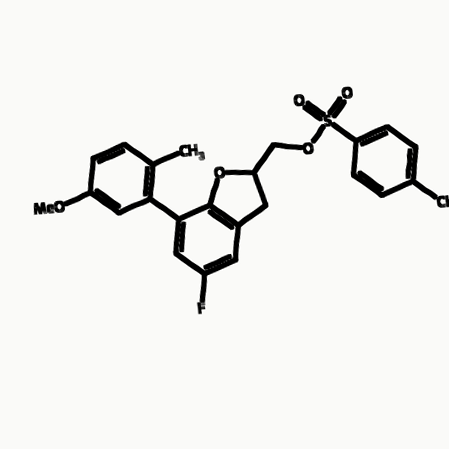 COc1ccc(C)c(-c2cc(F)cc3c2OC(COS(=O)(=O)c2ccc(C)cc2)C3)c1